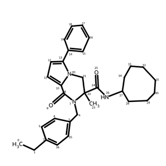 CCc1ccc(CN2C(=O)c3ccc(-c4ccccc4)n3CC2(C)C(=O)NC2CCCCCCC2)cc1